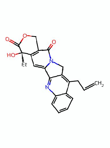 C=CCc1c2c(nc3ccccc13)-c1cc3c(c(=O)n1C2)COC(=O)[C@]3(O)CC